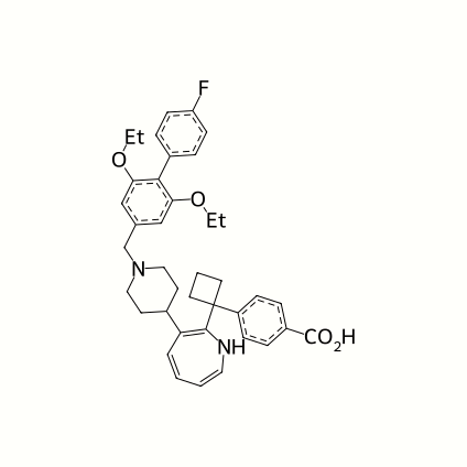 CCOc1cc(CN2CCC(C3=C(C4(c5ccc(C(=O)O)cc5)CCC4)NC=CC=C3)CC2)cc(OCC)c1-c1ccc(F)cc1